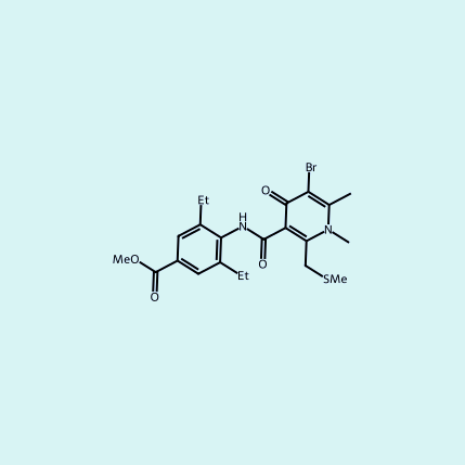 CCc1cc(C(=O)OC)cc(CC)c1NC(=O)c1c(CSC)n(C)c(C)c(Br)c1=O